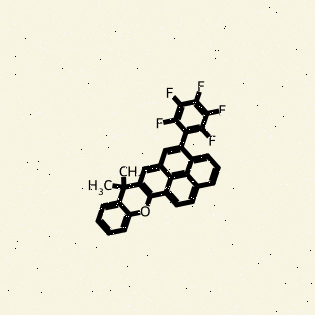 CC1(C)c2ccccc2Oc2c1cc1cc(-c3c(F)c(F)c(F)c(F)c3F)c3cccc4ccc2c1c43